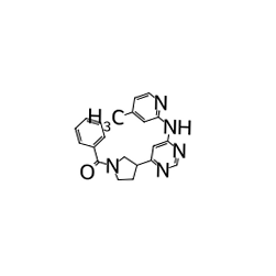 Cc1ccnc(Nc2cc(C3CCN(C(=O)c4ccccc4)C3)ncn2)c1